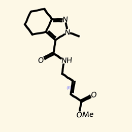 COC(=O)/C=C/CNC(=O)c1c2c(nn1C)CCCC2